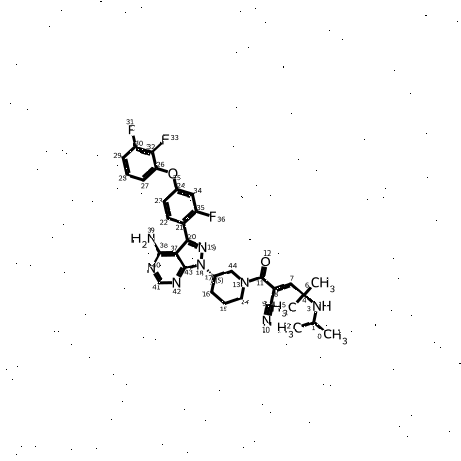 CC(C)NC(C)(C)C=C(C#N)C(=O)N1CCC[C@H](n2nc(-c3ccc(Oc4cccc(F)c4F)cc3F)c3c(N)ncnc32)C1